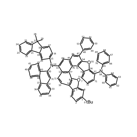 CC(C)(C)c1ccc2c(c1)oc1c2ccc2c(N(c3ccc4c(c3)-c3ccccc3C4(C)C)c3cc4ccccc4c4ccccc34)cc3cc(-c4ccccc4)c4oc5c(N(c6ccccc6)c6ccccc6)cccc5c4c3c21